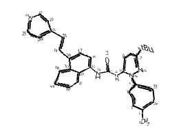 Cc1ccc(-n2nc(C(C)(C)C)cc2NC(=O)Nc2ccc(/C=C/c3ccncc3)c3ccccc23)cc1